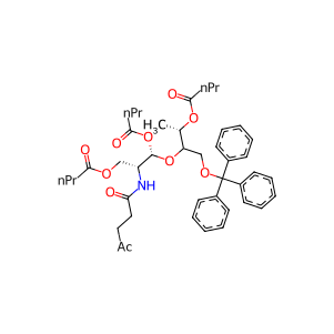 CCCC(=O)OC[C@@H](NC(=O)CCC(C)=O)[C@H](OC(=O)CCC)OC(COC(c1ccccc1)(c1ccccc1)c1ccccc1)[C@H](C)OC(=O)CCC